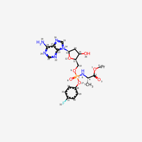 CC(C)OC(=O)[C@H](C)NP(=O)(OC[C@H]1O[C@@H](n2cnc3c(N)ncnc32)CC1O)Oc1ccc(F)cc1